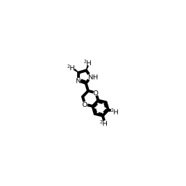 [2H]c1cc2c(cc1[2H])OC(C1=N[C@@H]([2H])[C@@H]([2H])N1)CO2